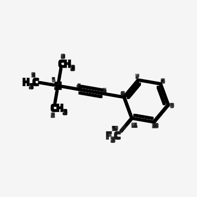 C[Si](C)(C)C#Cc1ccccc1C(F)(F)F